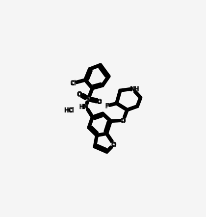 Cl.O=S(=O)(Nc1cc(OC2CCNCC2F)c2occc2c1)c1ccccc1Cl